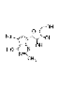 Cc1nc(O)c2c(C#N)cn([C@@H]3OC(CO)[C@@H](O)[C@H]3O)c2n1